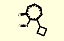 O=Nc1c(C2CCC2)ccccc1=O